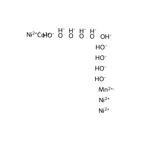 [Co+2].[Mn+2].[Ni+2].[Ni+2].[Ni+2].[OH-].[OH-].[OH-].[OH-].[OH-].[OH-].[OH-].[OH-].[OH-].[OH-]